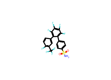 NS(=O)(=O)c1ccc(-c2c(F)c(F)c(F)c(F)c2-c2ccc(F)c(C(F)(F)F)c2)cc1